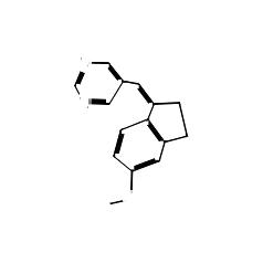 COc1ccc2c(c1)CC/C2=C/c1cncnc1